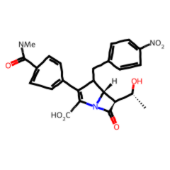 CNC(=O)c1ccc(C2=C(C(=O)O)N3C(=O)[C@H]([C@@H](C)O)[C@H]3C2Cc2ccc([N+](=O)[O-])cc2)cc1